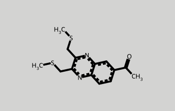 CSCc1nc2ccc(C(C)=O)cc2nc1CSC